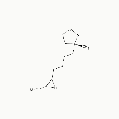 COC1OC1CCCC[C@]1(C)CCSS1